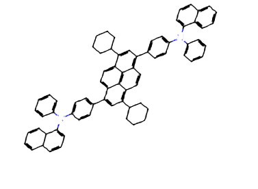 C1=CC2C=CC=C(N(c3ccccc3)c3ccc(-c4cc(C5CCCCC5)c5ccc6c(-c7ccc(N(c8ccccc8)c8cccc9ccccc89)cc7)cc(C7CCCCC7)c7ccc4c5c67)cc3)C2C=C1